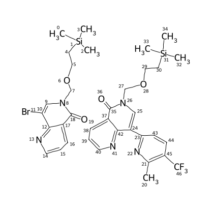 C[Si](C)(C)CCOCn1cc(Br)c2ncccc2c1=O.Cc1nc(-c2cn(COCC[Si](C)(C)C)c(=O)c3cccnc23)ccc1C(F)(F)F